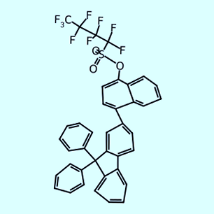 O=S(=O)(Oc1ccc(-c2ccc3c(c2)C(c2ccccc2)(c2ccccc2)c2ccccc2-3)c2ccccc12)C(F)(F)C(F)(F)C(F)(F)C(F)(F)F